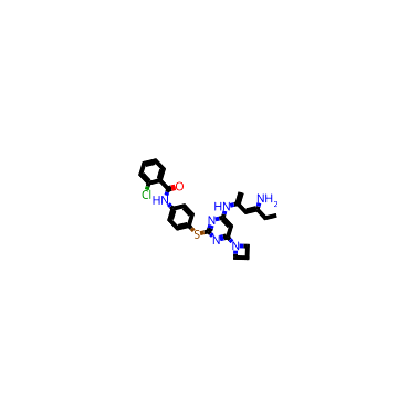 C=C(/C=C(\N)CC)Nc1cc(N2CCC2)nc(Sc2ccc(NC(=O)c3ccccc3Cl)cc2)n1